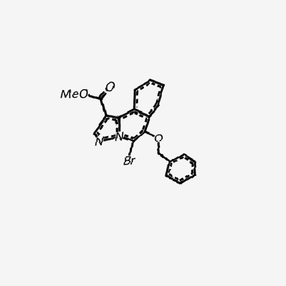 COC(=O)c1cnn2c(Br)c(OCc3ccccc3)c3ccccc3c12